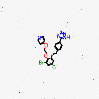 Clc1cc(Br)c(OCCOc2ccncc2)c(CCc2ccc(-c3nnn[nH]3)cc2)c1